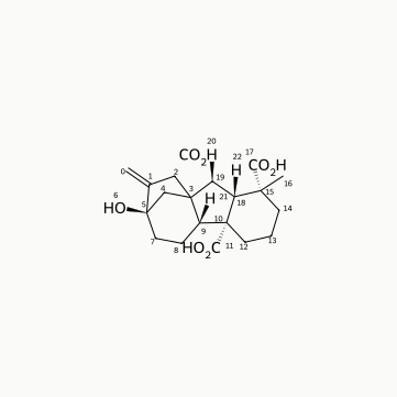 C=C1CC23C[C@]1(O)CC[C@H]2[C@]1(C(=O)O)CCC[C@@](C)(C(=O)O)[C@H]1[C@@H]3C(=O)O